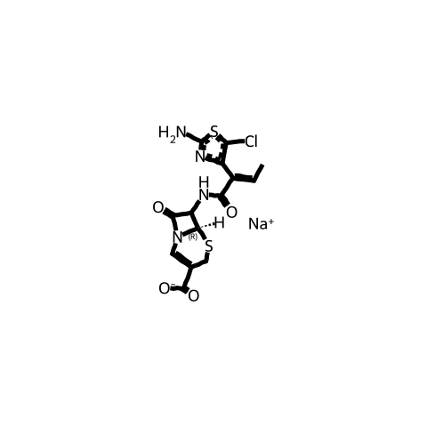 CC=C(C(=O)NC1C(=O)N2C=C(C(=O)[O-])CS[C@H]12)c1nc(N)sc1Cl.[Na+]